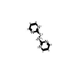 c1cnc([N+]Sc2ncccn2)nc1